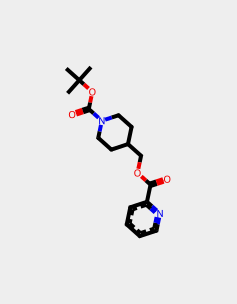 CC(C)(C)OC(=O)N1CCC(COC(=O)c2ccccn2)CC1